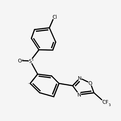 [O-][S+](c1[c]ccc(-c2noc(C(F)(F)F)n2)c1)c1ccc(Cl)cc1